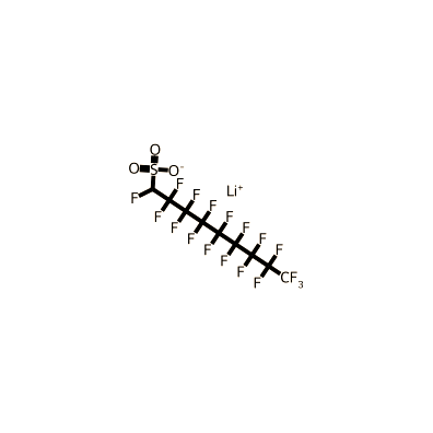 O=S(=O)([O-])C(F)C(F)(F)C(F)(F)C(F)(F)C(F)(F)C(F)(F)C(F)(F)C(F)(F)C(F)(F)F.[Li+]